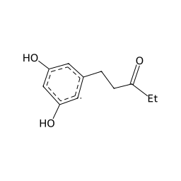 CCC(=O)CCc1[c]c(O)cc(O)c1